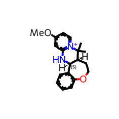 COc1cc[n+]2c(c1)N[C@@H]1c3ccccc3OCC[C@@H]1C2(C)C